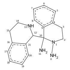 NN1CCc2ccccc2C1(N)C1NCCc2ccccc21